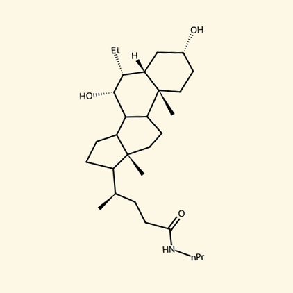 CCCNC(=O)CC[C@@H](C)C1CCC2C3C(CC[C@@]21C)[C@@]1(C)CC[C@@H](O)C[C@H]1[C@@H](CC)[C@H]3O